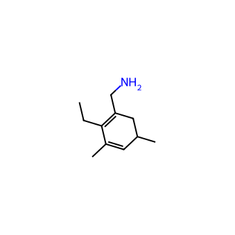 CCC1=C(CN)CC(C)C=C1C